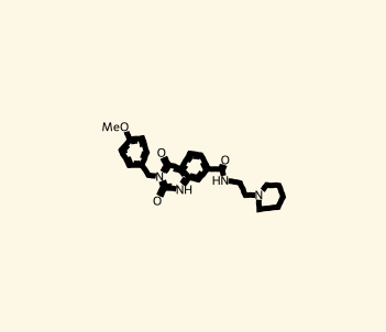 COc1ccc(Cn2c(=O)[nH]c3cc(C(=O)NCCN4CCCCC4)ccc3c2=O)cc1